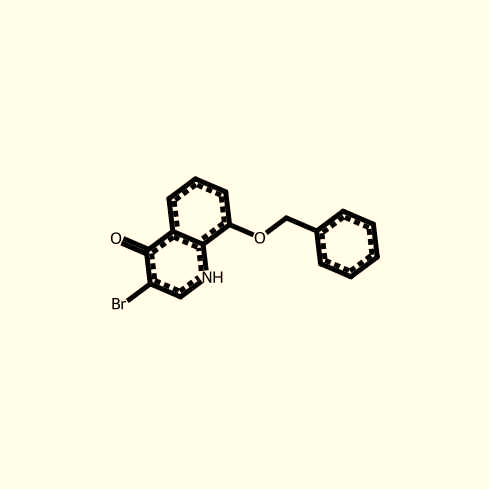 O=c1c(Br)c[nH]c2c(OCc3ccccc3)cccc12